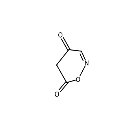 O=C1C=NOC(=O)C1